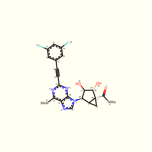 CNC(=O)[C@]12CC1[C@@H](n1cnc3c(NC)nc(C#Cc4cc(F)cc(F)c4)nc31)C(O)[C@@H]2O